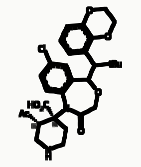 CC(=O)[C@H]1CNCC[C@]1(C(=O)O)N1C(=O)COC(C(c2cccc3c2OCCO3)C(C)(C)C)c2cc(Cl)ccc21